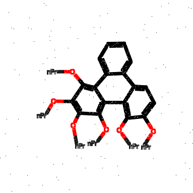 CCCOc1ccc2c3ccccc3c3c(OCCC)c(OCCC)c(OCCC)c(OCCC)c3c2c1OCCC